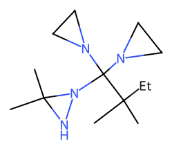 [CH2]CC(C)(C)C(N1CC1)(N1CC1)N1NC1(C)C